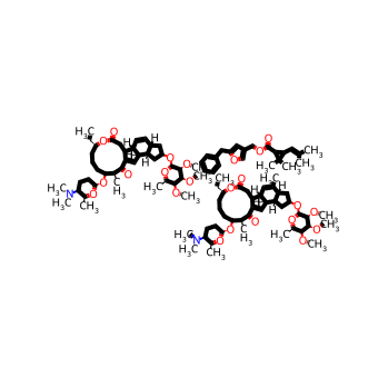 CC(C)=CC1C(C(=O)OCc2coc(Cc3ccccc3)c2)C1(C)C.CC[C@H]1CCC[C@H](O[C@H]2CC[C@H](N(C)C)[C@@H](C)O2)[C@@H](C)C(=O)C2=C[C@@H]3[C@@H](C=C(C)[C@@H]4C[C@@H](O[C@@H]5O[C@@H](C)[C@H](OC)[C@@H](OC)[C@H]5OC)C[C@@H]34)[C@@H]2CC(=O)O1.CC[C@H]1CCC[C@H](O[C@H]2CC[C@H](N(C)C)[C@@H](C)O2)[C@@H](C)C(=O)C2=C[C@@H]3[C@@H](C=C[C@@H]4C[C@@H](O[C@@H]5O[C@@H](C)[C@H](OC)[C@@H](OC)[C@H]5OC)C[C@@H]34)[C@@H]2CC(=O)O1